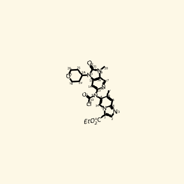 CCOC(=O)c1cnc2cc(C)c(N(C(=O)Cl)c3cc4c(cn3)n(C)c(=O)n4C3CCOCC3)cn12